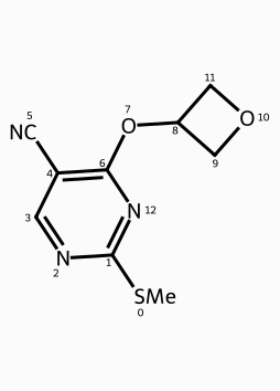 CSc1ncc(C#N)c(OC2COC2)n1